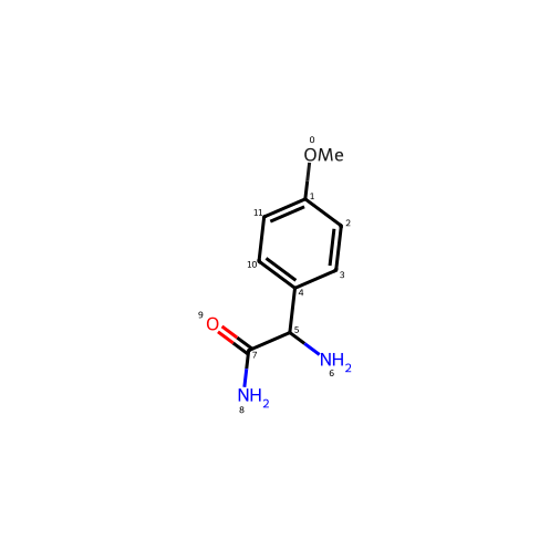 COc1ccc(C(N)C(N)=O)cc1